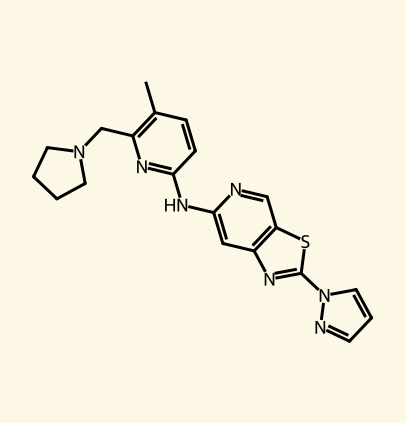 Cc1ccc(Nc2cc3nc(-n4cccn4)sc3cn2)nc1CN1CCCC1